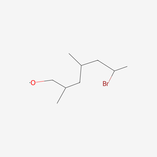 CC(Br)CC(C)CC(C)C[O]